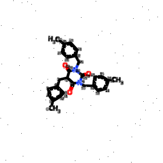 Cc1ccc(CC2C(=O)N(Cc3ccc(C)cc3)C(=O)N(Cc3ccc(C)cc3)C2=O)cc1